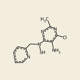 Cc1nc(Cl)c(N)c(N(S)Cc2ccccn2)n1